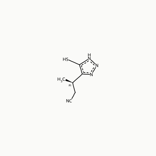 C[C@H](CC#N)c1nn[nH]c1S